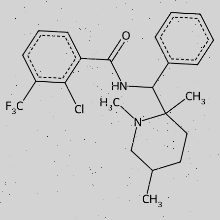 CC1CCC(C)(C(NC(=O)c2cccc(C(F)(F)F)c2Cl)c2ccccc2)N(C)C1